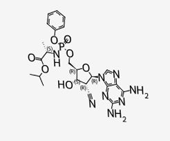 CC(C)OC(=O)[C@H](C)NP(=O)(OC[C@H]1O[C@@H](n2cnc3c(N)nc(N)nc32)[C@H](C#N)[C@@H]1O)Oc1ccccc1